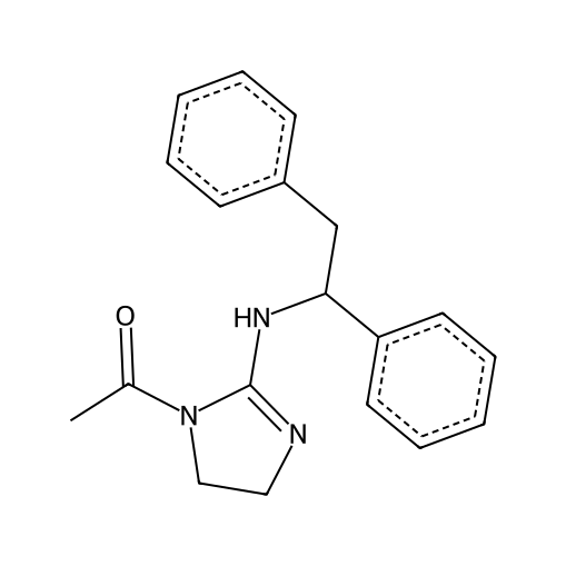 CC(=O)N1CCN=C1NC(Cc1ccccc1)c1ccccc1